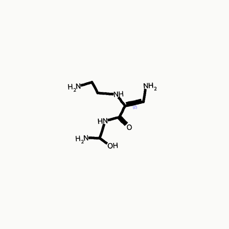 N/C=C(\NCCN)C(=O)NC(N)O